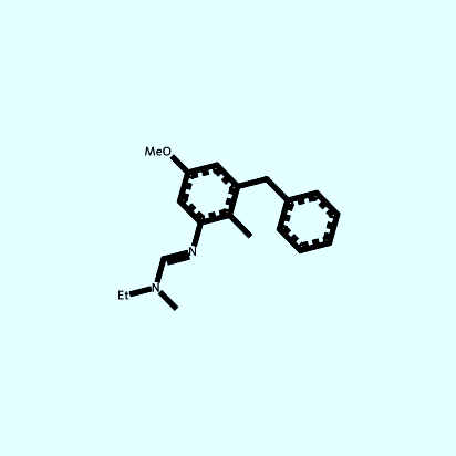 CCN(C)C=Nc1cc(OC)cc(Cc2ccccc2)c1C